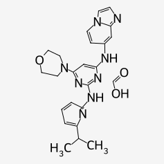 CC(C)c1cccc(Nc2nc(Nc3ccn4ccnc4c3)cc(N3CCOCC3)n2)n1.O=CO